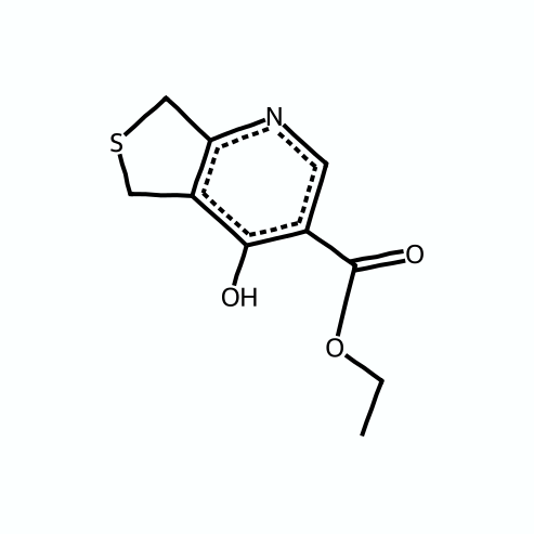 CCOC(=O)c1cnc2c(c1O)CSC2